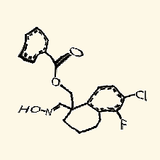 O=C(OCC1(/C=N/O)CCCc2c1ccc(Cl)c2F)c1ccccc1